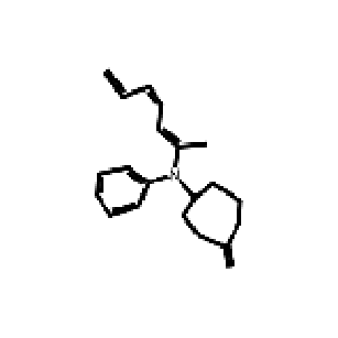 C=C/C=C\C=C(/C)N(c1ccccc1)C1CCCC(=C)CC1